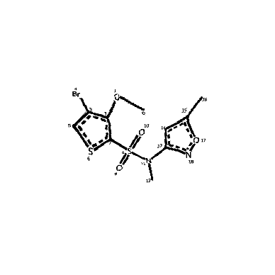 COc1c(Br)csc1S(=O)(=O)N(C)c1cc(C)on1